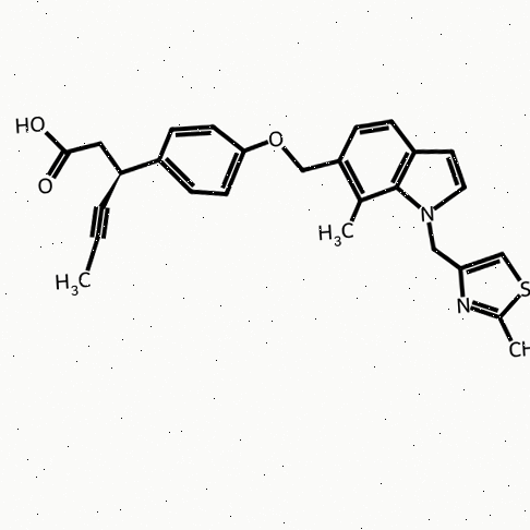 CC#C[C@@H](CC(=O)O)c1ccc(OCc2ccc3ccn(Cc4csc(C)n4)c3c2C)cc1